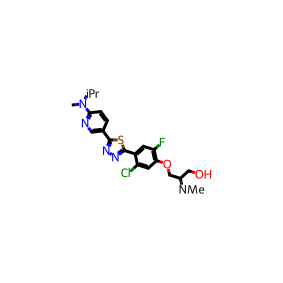 CNC(CO)COc1cc(Cl)c(-c2nnc(-c3ccc(N(C)C(C)C)nc3)s2)cc1F